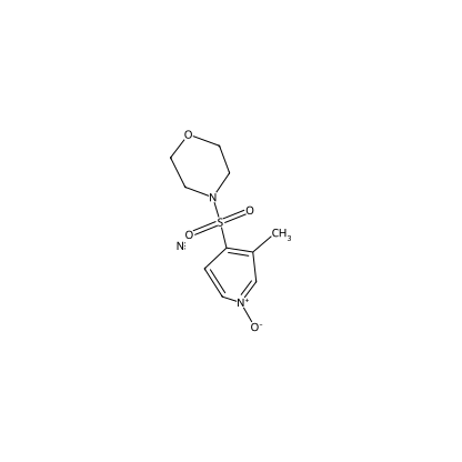 Cc1c[n+]([O-])ccc1S(=O)(=O)N1CCOCC1.[N]